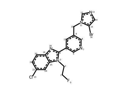 FCCn1c(-c2cncc(Cn3cncc3Br)c2)nc2ccc(Cl)cc21